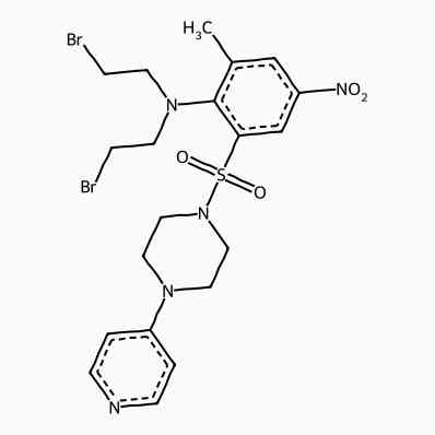 Cc1cc([N+](=O)[O-])cc(S(=O)(=O)N2CCN(c3ccncc3)CC2)c1N(CCBr)CCBr